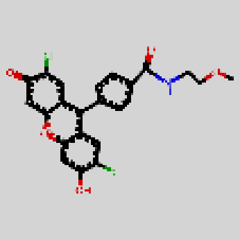 COCCNC(=O)c1ccc(-c2c3cc(Cl)c(=O)cc-3oc3cc(O)c(Cl)cc23)cc1